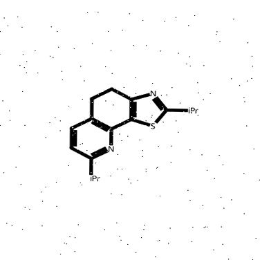 CC(C)c1ccc2c(n1)-c1sc(C(C)C)nc1CC2